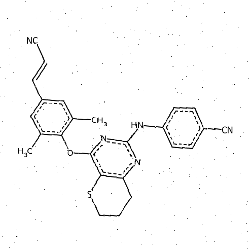 Cc1cc(C=CC#N)cc(C)c1Oc1nc(Nc2ccc(C#N)cc2)nc2c1SCCC2